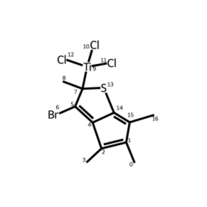 CC1=C(C)C2=C(Br)[C](C)([Ti]([Cl])([Cl])[Cl])SC2=C1C